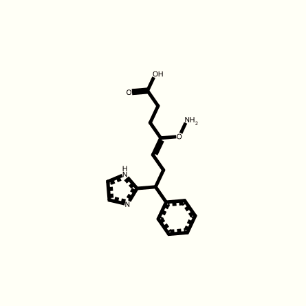 NOC(=CCC(c1ccccc1)c1ncc[nH]1)CCC(=O)O